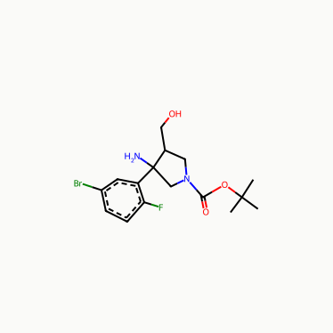 CC(C)(C)OC(=O)N1CC(CO)C(N)(c2cc(Br)ccc2F)C1